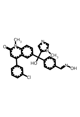 Cn1cncc1C(O)(c1ccc(/C=N/O)cc1)c1ccc2c(c1)c(-c1cccc(Cl)c1)cc(=O)n2C